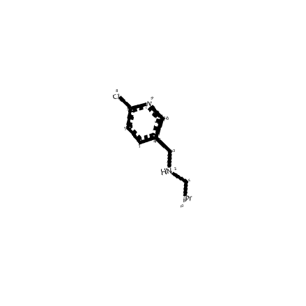 CC(C)CNCc1ccc(Cl)nc1